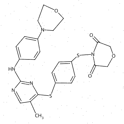 Cc1cnc(Nc2ccc(N3CCOCC3)cc2)nc1Sc1ccc(SN2C(=O)COCC2=O)cc1